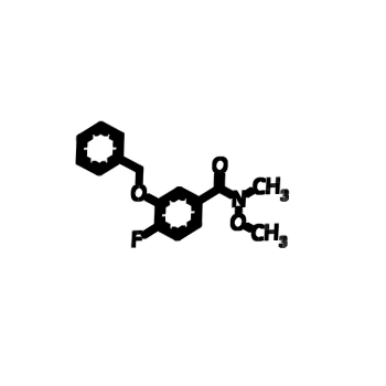 CON(C)C(=O)c1ccc(F)c(OCc2ccccc2)c1